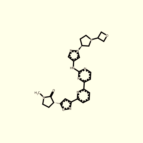 CN1CC[C@@H](c2cc(-c3cccc(-c4ccnc(Nc5cnn([C@H]6CCN(C7COC7)C6)c5)n4)n3)no2)C1=O